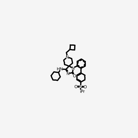 CC(C)S(=O)(=O)C1=CC=C(c2ccccc2N2C(=O)N=C(NC3CCCCC3)C23CCN(CC2CCC2)CC3)CC1